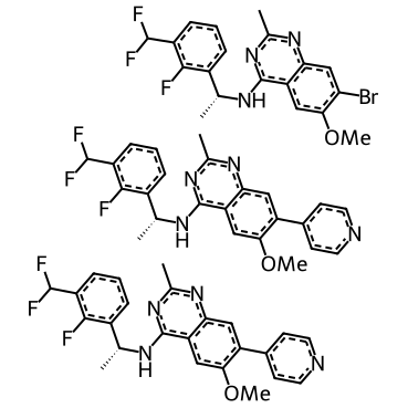 COc1cc2c(N[C@H](C)c3cccc(C(F)F)c3F)nc(C)nc2cc1-c1ccncc1.COc1cc2c(N[C@H](C)c3cccc(C(F)F)c3F)nc(C)nc2cc1-c1ccncc1.COc1cc2c(N[C@H](C)c3cccc(C(F)F)c3F)nc(C)nc2cc1Br